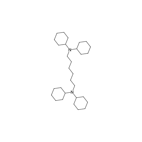 C1CCC(N(CCCCCCN(C2CCCCC2)C2CCCCC2)C2CCCCC2)CC1